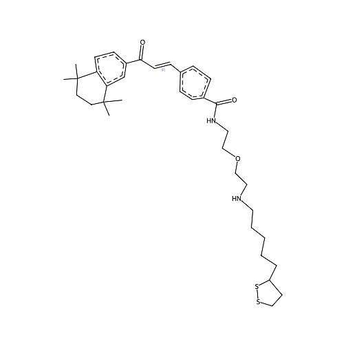 CC1(C)CCC(C)(C)c2cc(C(=O)/C=C/c3ccc(C(=O)NCCOCCNCCCCCC4CCSS4)cc3)ccc21